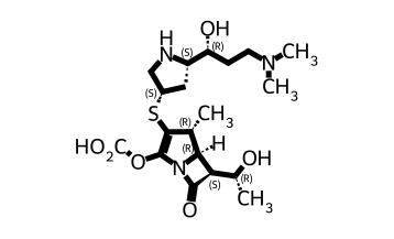 C[C@@H](O)[C@H]1C(=O)N2C(OC(=O)O)=C(S[C@@H]3CN[C@H]([C@H](O)CCN(C)C)C3)[C@H](C)[C@@H]12